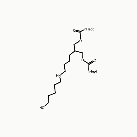 CCCCCCCC(=O)OCC(CCCCNCCCCCO)COC(=O)CCCCCCC